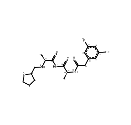 C[C@H](NCC1CCCO1)C(=O)NC(=O)[C@H](C)NC(=O)Cc1cc(F)cc(F)c1